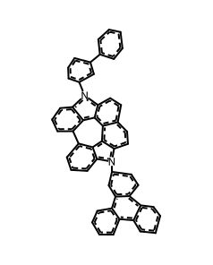 c1ccc(-c2cccc(-n3c4cccc5c4c4c6c(ccc43)ccc3c6c4c-5cccc4n3-c3ccc4c5ccccc5c5ccccc5c4c3)c2)cc1